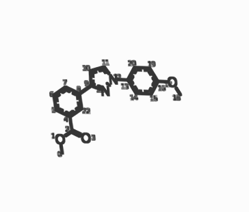 COC(=O)c1cccc(-c2ccn(-c3ccc(OC)cc3)n2)c1